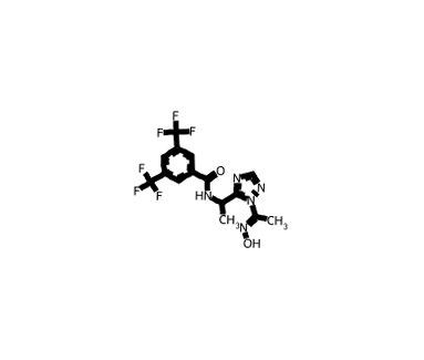 CC(=NO)n1ncnc1C(C)NC(=O)c1cc(C(F)(F)F)cc(C(F)(F)F)c1